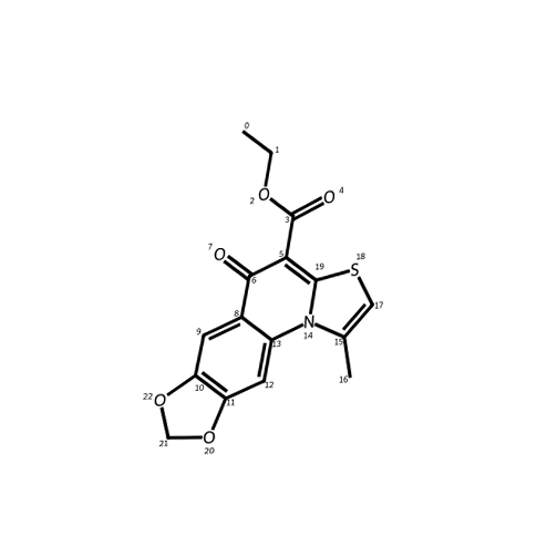 CCOC(=O)c1c(=O)c2cc3c(cc2n2c(C)csc12)OCO3